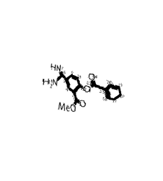 COC(=O)c1cc(C(=N)N)ccc1OC(=O)c1ccccc1